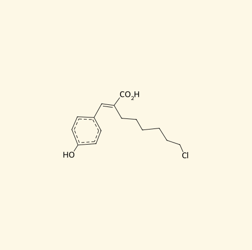 O=C(O)C(=Cc1ccc(O)cc1)CCCCCCCl